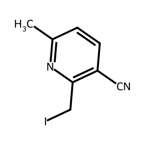 Cc1ccc(C#N)c(CI)n1